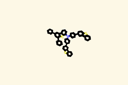 c1ccc(-c2cc(-c3ccccc3)c3sc4c(N(c5ccc(-c6ccc7sc8ccccc8c7c6)cc5)c5ccc(-c6ccc7sc8ccccc8c7c6)cc5)cccc4c3c2)cc1